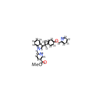 COC(=O)c1ccc(Cn2cc(C(C)(c3ccc(OCc4ccccn4)cc3)C(C)C)c3ccccc32)nc1